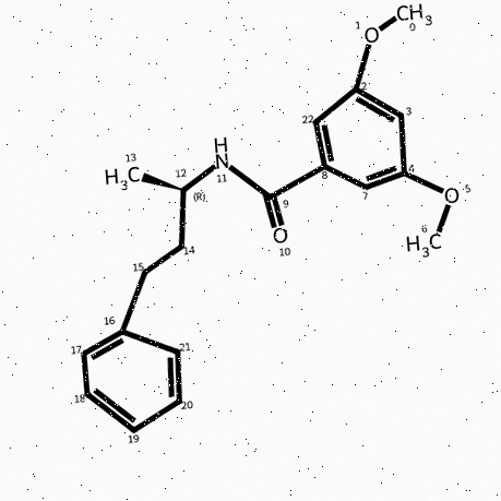 COc1cc(OC)cc(C(=O)N[C@H](C)CCc2ccccc2)c1